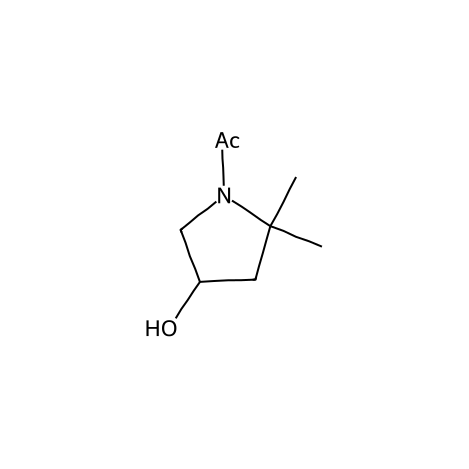 CC(=O)N1CC(O)CC1(C)C